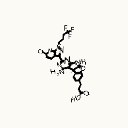 C[C@@]1(c2ccc(CCC(=O)O)cc2)C(=O)Nc2nc(-c3nn(CCCC(F)(F)F)c4nc(Cl)ccc34)nc(N)c21